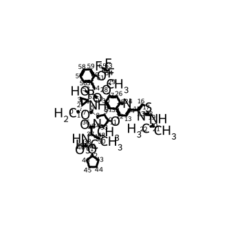 C=C[C@@H]1C[C@]1(NC(=O)[C@@H]1C[C@@H](Oc2cc(-c3csc(NC(C)C)n3)nc3cc(OC)ccc23)CN1C(=O)[C@@H](NC(=O)OC1CCCC1)C(C)(C)C)P(=O)(O)Cc1ccccc1OC(F)(F)F